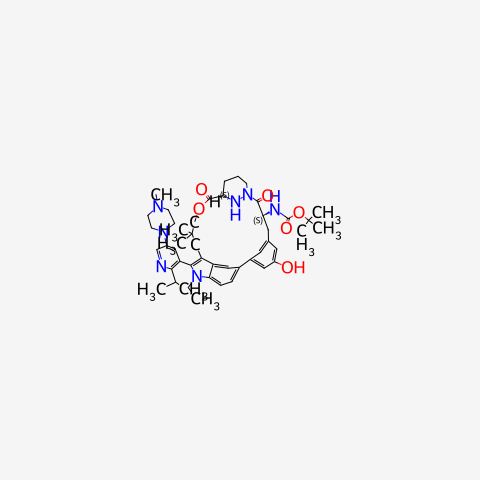 CCn1c(-c2cc(N3CCN(C)CC3)cnc2C(C)C)c2c3cc(ccc31)-c1cc(O)cc(c1)C[C@H](NC(=O)OC(C)(C)C)C(=O)N1CCC[C@H](N1)C(=O)OCC(C)(C)C2